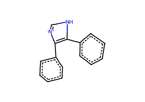 C1=[N+]C(c2ccccc2)=C(c2ccccc2)N1